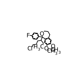 CCC(CCCCl)C1(c2ccc(F)cc2)OCCCc2cc(OC)c(OC)cc21